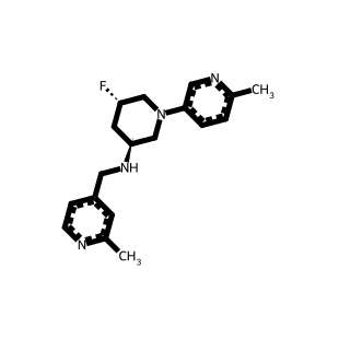 Cc1ccc(N2C[C@@H](F)C[C@H](NCc3ccnc(C)c3)C2)cn1